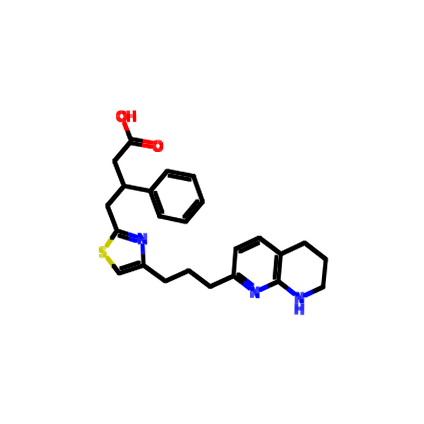 O=C(O)CC(Cc1nc(CCCc2ccc3c(n2)NCCC3)cs1)c1ccccc1